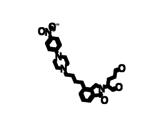 O=CCCC(C=O)N1Cc2c(CCCCN3CCN(c4ccc([N+](=O)[O-])cc4)CC3)cccc2C1=O